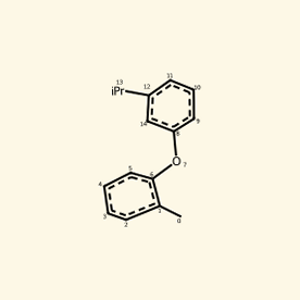 Cc1ccccc1Oc1cccc(C(C)C)c1